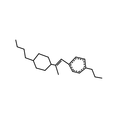 CCCCC1CCC(C(C)=Cc2ccc(CCC)cc2)CC1